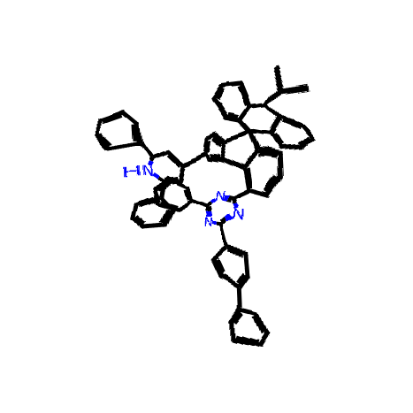 CC(C)C1c2ccccc2C2(c3ccc(C4=CC(c5ccccc5)NC(c5ccccc5)=C4)cc3-c3c(-c4nc(-c5ccccc5)nc(-c5ccc(-c6ccccc6)cc5)n4)cccc32)c2ccccc21